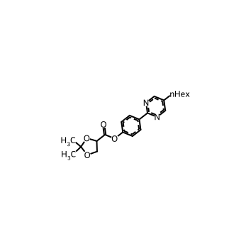 CCCCCCc1cnc(-c2ccc(OC(=O)C3COC(C)(C)O3)cc2)nc1